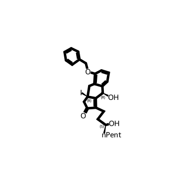 CCCCC[C@H](O)CCC1=C2[C@H](O)c3cccc(OCc4ccccc4)c3C[C@@]2(I)CC1=O